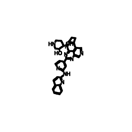 O[C@H]1CNCC[C@H]1N(O)c1nc(-c2ccnc(Nc3ccc4ccccc4n3)c2)nc2cncc(C3CCC3)c12